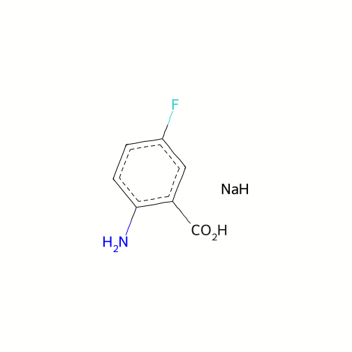 Nc1ccc(F)cc1C(=O)O.[NaH]